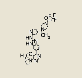 COc1c(-c2ccc3nc(Nc4cc(C(C)N5CCN(C(=O)CC(F)(F)F)CC5)ccn4)[nH]c3c2)ncnc1N1CCCC1